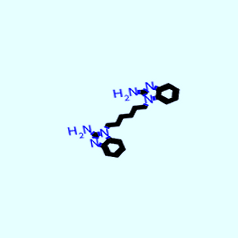 Nc1nc2ccccc2n1CCCCCCn1c(N)nc2ccccc21